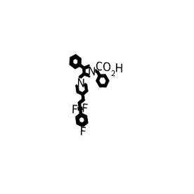 O=C(O)C(C1CCCCC1)N1CC(CN2CCC(CCC(F)(F)c3ccc(F)cc3)CC2)C(c2ccccc2)C1